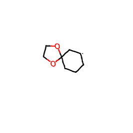 [CH]1CCCC2(C1)OCCO2